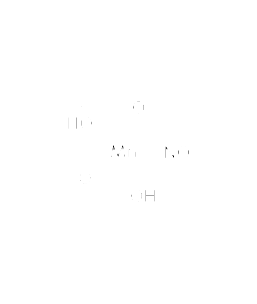 O=[N][Mn](=[O])(=[O])([OH])[OH]